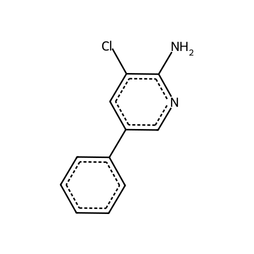 Nc1ncc(-c2ccccc2)cc1Cl